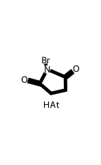 O=C1CCC(=O)N1Br.[AtH]